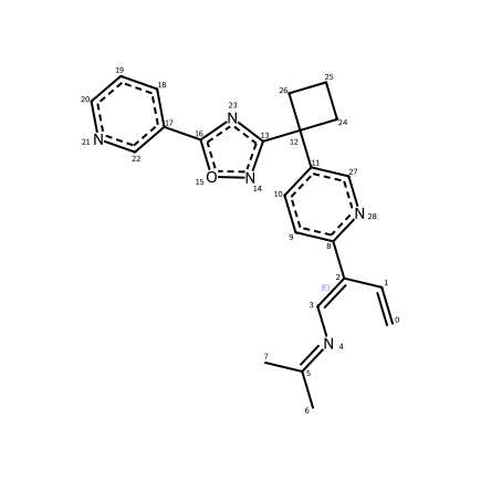 C=C/C(=C\N=C(C)C)c1ccc(C2(c3noc(-c4cccnc4)n3)CCC2)cn1